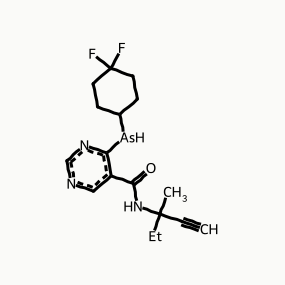 C#CC(C)(CC)NC(=O)c1cncnc1[AsH]C1CCC(F)(F)CC1